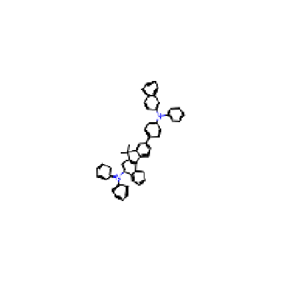 CC1(C)c2cc(-c3ccc(N(c4ccccc4)c4ccc5ccccc5c4)cc3)ccc2-c2c1cc(N(c1ccccc1)c1ccccc1)c1ccccc21